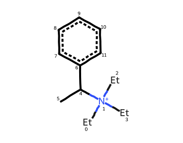 CC[N+](CC)(CC)C(C)c1ccccc1